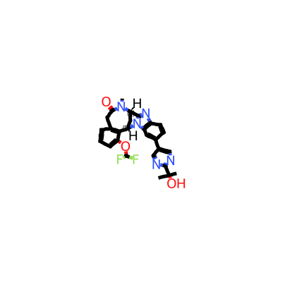 CN1C(=O)Cc2cccc(OC(F)F)c2[C@H]2C[C@@H]1c1nc3ccc(-c4cnc(C(C)(C)O)nc4)cc3n12